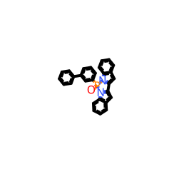 O=P1(c2cccc(-c3ccccc3)c2)n2c(cc3ccccc32)-c2cc3ccccc3n21